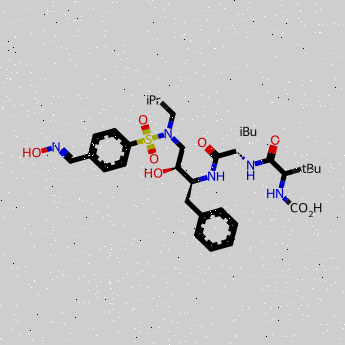 CC[C@H](C)[C@H](NC(=O)C(NC(=O)O)C(C)(C)C)C(=O)N[C@@H](Cc1ccccc1)[C@@H](O)CN(CC(C)C)S(=O)(=O)c1ccc(C=NO)cc1